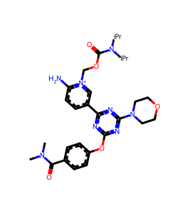 CC(C)N(C(=O)OC[n+]1cc(-c2nc(Oc3ccc(C(=O)N(C)C)cc3)nc(N3CCOCC3)n2)ccc1N)C(C)C